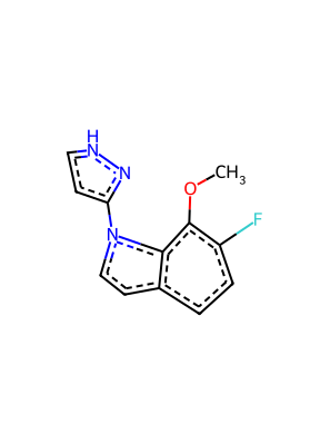 COc1c(F)ccc2ccn(-c3cc[nH]n3)c12